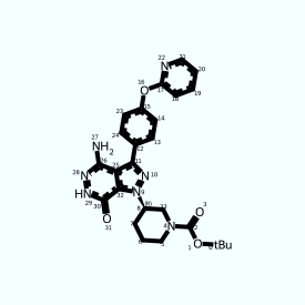 CC(C)(C)OC(=O)N1CCC[C@@H](n2nc(-c3ccc(Oc4ccccn4)cc3)c3c(N)n[nH]c(=O)c32)C1